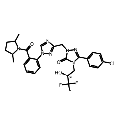 CC1CCC(C)N1C(=O)c1ccccc1-n1cnc(Cn2nc(-c3ccc(Cl)cc3)n(C[C@H](O)C(F)(F)F)c2=O)n1